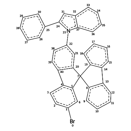 Brc1ccc2c(c1)C1(c3ccccc3-c3ccccc31)c1cc(-n3c(-c4ccccc4)cc4ccccc43)ccc1-2